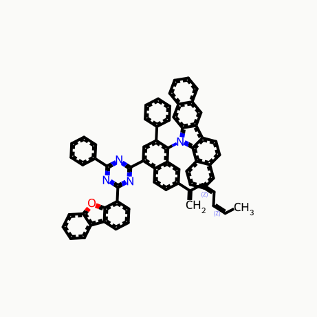 C=C(/C=C\C=C/C)c1ccc2c(-c3nc(-c4ccccc4)nc(-c4cccc5c4oc4ccccc45)n3)cc(-c3ccccc3)c(-n3c4cc5ccccc5cc4c4ccc5ccccc5c43)c2c1